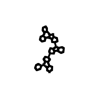 c1ccc(-n2c3ccc(-c4ccc5c(c4)c4ccccc4n5-c4ccc5nc6c7ccccc7c7ccccc7n6c5c4)cc3c3ccncc32)cc1